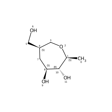 C[C@@H]1OC[C@H](CO)C[C@H](O)[C@H]1O